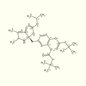 CCC(C)N[C@@](Cc1ccc(OC(=O)CC(C)(C)C)c(OC(=O)CC(C)(C)C)c1)(OC(=O)OC(C)C)C(=O)O